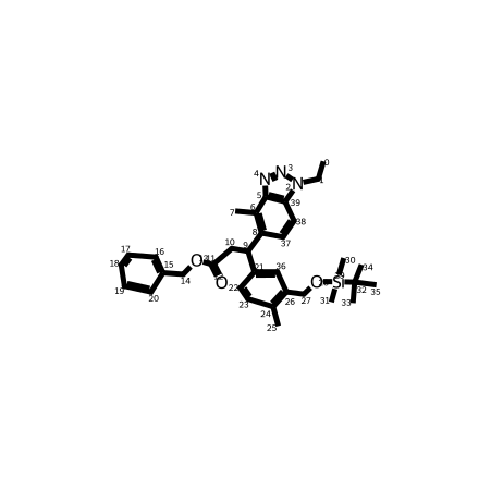 CCn1nnc2c(C)c(C(CC(=O)OCc3ccccc3)c3ccc(C)c(CO[Si](C)(C)C(C)(C)C)c3)ccc21